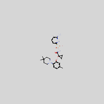 Cc1ccc(N2CCC(C)(C)CC2)c(OC2(C(=O)NS(=O)(=O)c3cccc(N)n3)CC2)c1